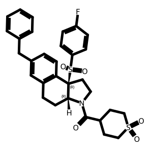 O=C(C1CCS(=O)(=O)CC1)N1CC[C@@]2(S(=O)(=O)c3ccc(F)cc3)c3ccc(Cc4ccccc4)cc3CC[C@@H]12